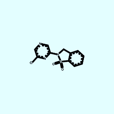 O=S1(=O)c2ccccc2CN1c1cncc(Cl)n1